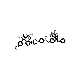 Cc1[nH]c(-c2ccc(Cl)cc2)c(-c2cccc(N3CCN(c4ccc(NSc5ccc(NSc6ccccc6)c(S(=O)(=O)C(F)(F)F)c5)cc4)CC3)c2)c1C(=O)O